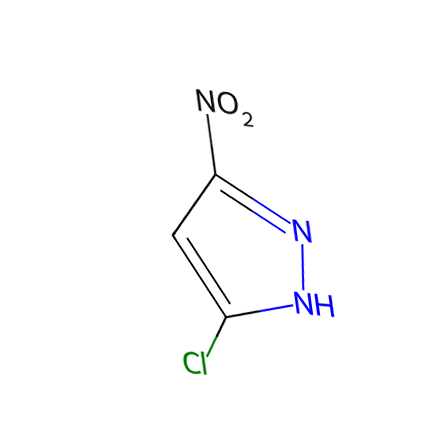 O=[N+]([O-])c1cc(Cl)[nH]n1